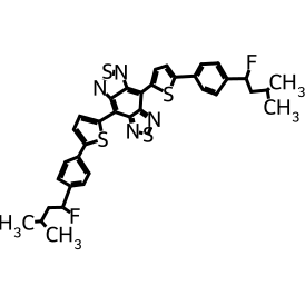 CC(C)CC(F)c1ccc(-c2ccc(-c3c4c(c(-c5ccc(-c6ccc(C(F)CC(C)C)cc6)s5)c5nsnc35)N=S=N4)s2)cc1